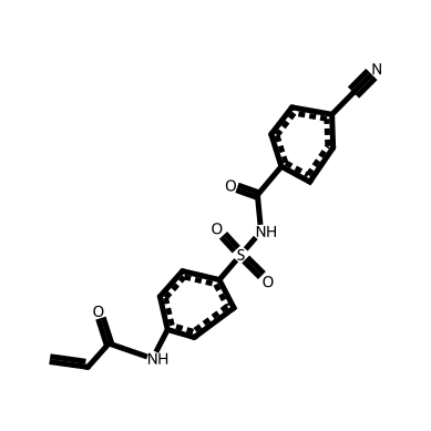 C=CC(=O)Nc1ccc(S(=O)(=O)NC(=O)c2ccc(C#N)cc2)cc1